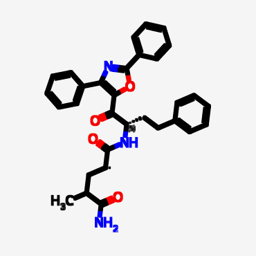 CC(C[CH]C(=O)N[C@@H](CCc1ccccc1)C(=O)c1oc(-c2ccccc2)nc1-c1ccccc1)C(N)=O